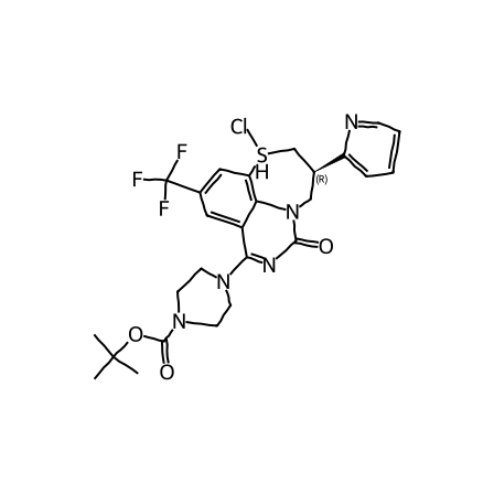 CC(C)(C)OC(=O)N1CCN(c2nc(=O)n3c4c(cc(C(F)(F)F)cc24)[SH](Cl)C[C@@H](c2ccccn2)C3)CC1